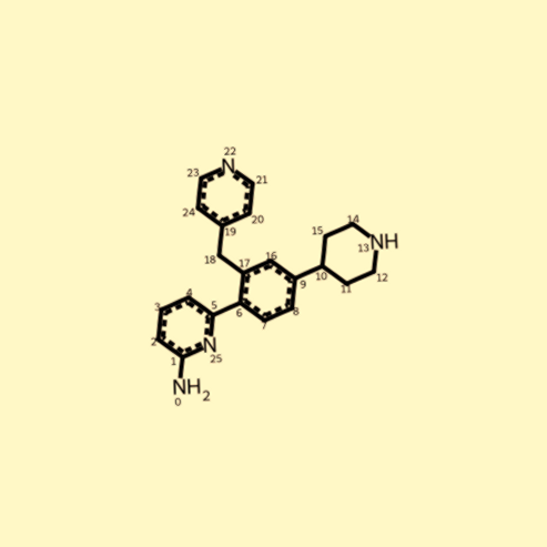 Nc1cccc(-c2ccc(C3CCNCC3)cc2Cc2ccncc2)n1